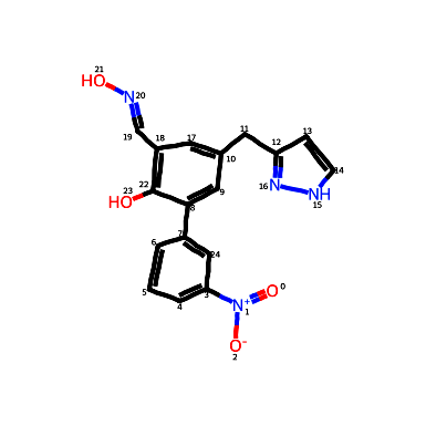 O=[N+]([O-])c1cccc(-c2cc(Cc3cc[nH]n3)cc(C=NO)c2O)c1